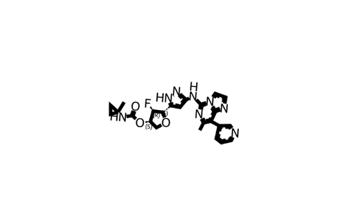 Cc1nc(Nc2cc([C@@H]3OC[C@H](OC(=O)NC4(C)CC4)[C@@H]3F)[nH]n2)n2ccnc2c1-c1cccnc1